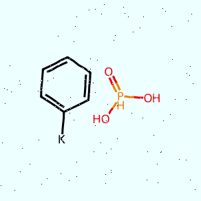 O=[PH](O)O.[K][c]1ccccc1